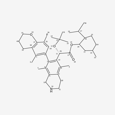 Cc1c(-c2c(C)c3c(c(C)c2[C@H](OC(C)(C)C)C(=O)OC2CC(C)CCC2C(C)C)CCNC3)cc(F)c2c1CCCO2